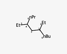 CCCC[C](CC)CC(CC)CCC